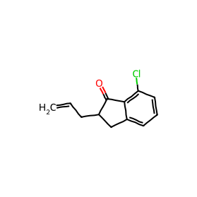 C=CCC1Cc2cccc(Cl)c2C1=O